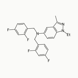 CCn1nc(C)c2cc(N(Cc3ccc(F)cc3F)Cc3ccc(F)cc3F)ccc21